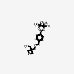 CCC1(COCc2ccc(B3OC(C)(C)C(C)(C)O3)cc2)COC1